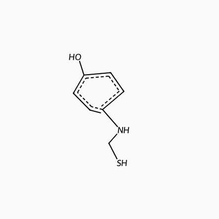 Oc1ccc(NCS)cc1